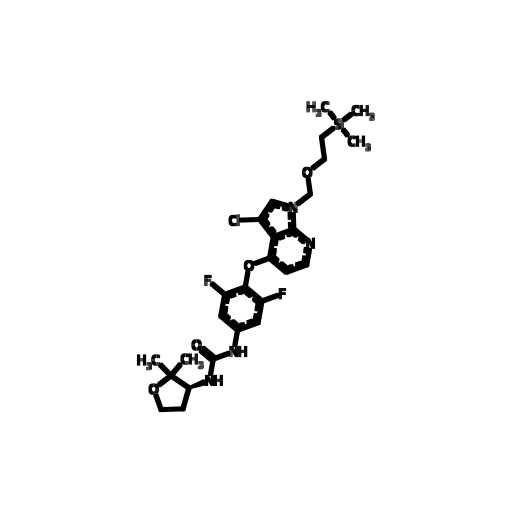 CC1(C)OCC[C@@H]1NC(=O)Nc1cc(F)c(Oc2ccnc3c2c(Cl)cn3COCC[Si](C)(C)C)c(F)c1